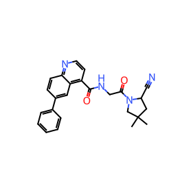 CC1(C)CC(C#N)N(C(=O)CNC(=O)c2ccnc3ccc(-c4ccccc4)cc23)C1